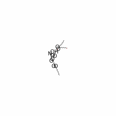 CCCCCCCCCCOC(=O)CCCCCC(=O)OCC(CCCN(CC)CCO)COC(=O)CCCCCCCOC(=O)C(CCCCCCCC)CCCCCCCC